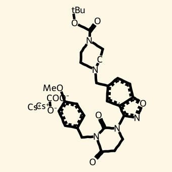 COc1ccc(CN2C(=O)CCN(c3noc4ccc(CN5CCN(C(=O)OC(C)(C)C)CC5)cc34)C2=O)cc1.O=C([O-])[O-].[Cs+].[Cs+]